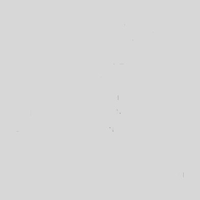 O=c1c2cc(Cl)ccc2c(-c2cccc(C(O)(O)F)c2C(O)(O)F)nn1-c1ccc(C(F)(F)F)cc1